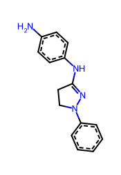 Nc1ccc(NC2=NN(c3ccccc3)CC2)cc1